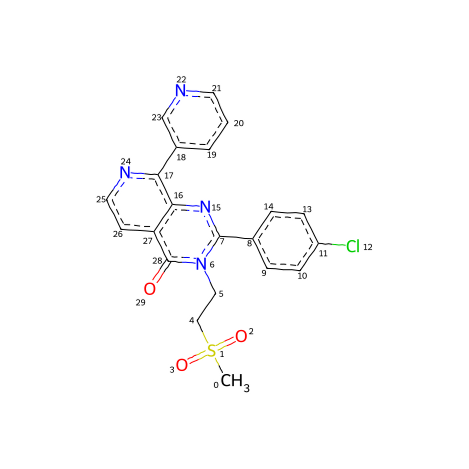 CS(=O)(=O)CCn1c(-c2ccc(Cl)cc2)nc2c(-c3cccnc3)nccc2c1=O